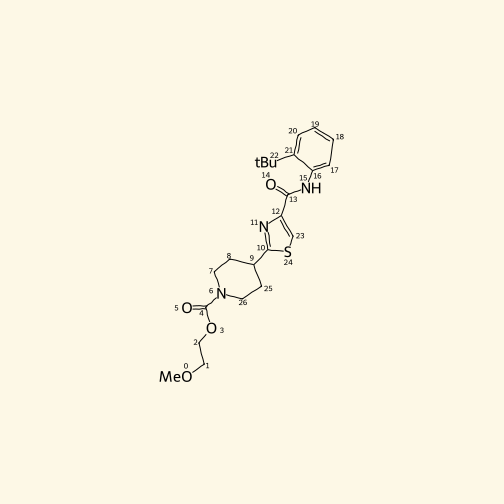 COCCOC(=O)N1CCC(c2nc(C(=O)Nc3ccccc3C(C)(C)C)cs2)CC1